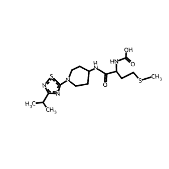 CSCCC(NC(=O)O)C(=O)NC1CCN(c2nc(C(C)C)ns2)CC1